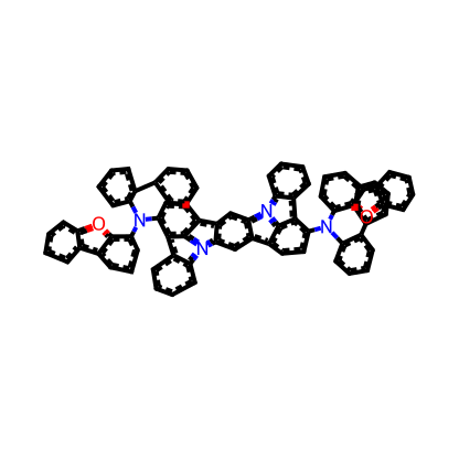 c1ccc(-c2ccccc2N(c2cccc3c2oc2ccccc23)c2ccc3c4cc5c(cc4n4c6ccccc6c2c34)c2ccc(N(c3ccccc3-c3ccccc3)c3cccc4c3oc3ccccc34)c3c4ccccc4n5c23)cc1